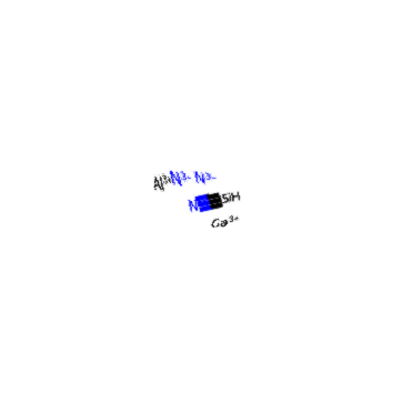 N#[SiH].[Al+3].[Ga+3].[N-3].[N-3]